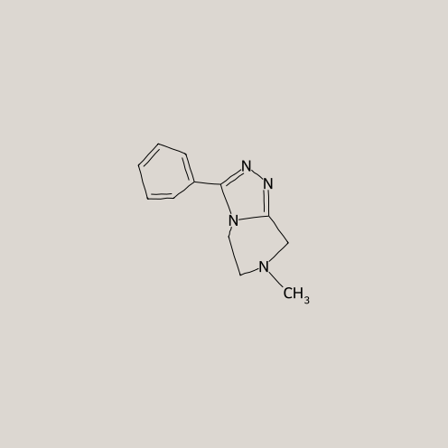 CN1CCn2c(nnc2-c2ccccc2)C1